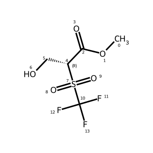 COC(=O)[C@@H](CO)S(=O)(=O)C(F)(F)F